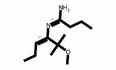 CC/C=C(/N=C(/N)CCC)C(C)(C)OC